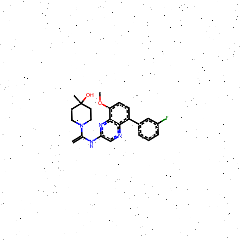 C=C(Nc1cnc2c(-c3cccc(F)c3)ccc(OC)c2n1)N1CCC(C)(O)CC1